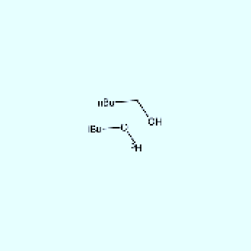 CCCCCO.[3H]OC(C)CC